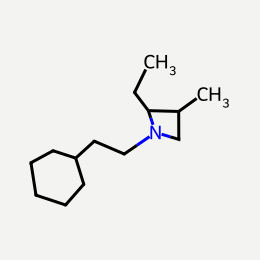 CCC1C(C)CN1CCC1CCCCC1